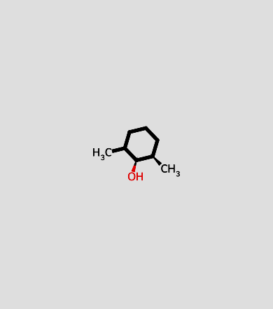 CC1CCC[C@@H](C)[C@H]1O